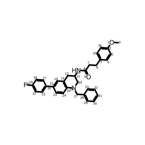 COc1ccc(CCC(=O)NC2Cc3cc(-c4ccc(F)cc4)ccc3N(Cc3ccccc3)C2)cc1